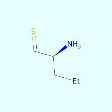 CCC[C@H](N)C=S